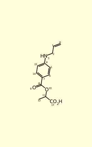 C=CCNc1ccc(C(=O)OC(C)C(=O)O)cc1